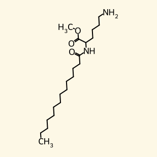 CCCCCCCCCCCCCC(=O)NC(CCCCN)C(=O)OC